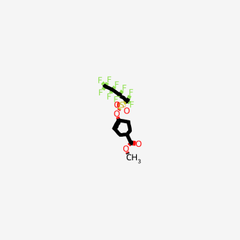 COC(=O)C1CC=C(OS(=O)(=O)C(F)(F)C(F)(F)C(F)(F)C(F)(F)F)CC1